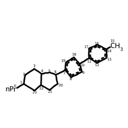 CCCC1CCC2CC(c3ccc(-c4ccc(C)cc4)cc3)CCC2C1